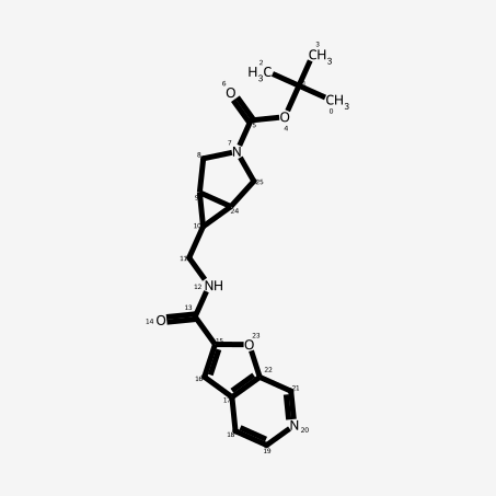 CC(C)(C)OC(=O)N1CC2C(CNC(=O)c3cc4ccncc4o3)C2C1